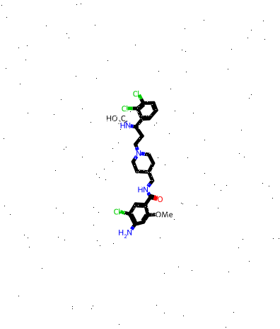 COc1cc(N)c(Cl)cc1C(=O)NCC1CCN(CCC(NC(=O)O)c2cccc(Cl)c2Cl)CC1